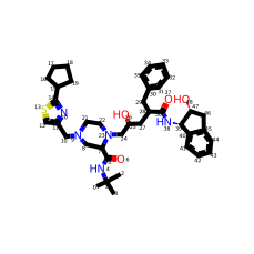 CC(C)(C)NC(=O)C1CN(Cc2csc(C3CCCC3)n2)CCN1CC(O)CC(Cc1ccccc1)C(=O)N[C@H]1c2ccccc2C[C@H]1O